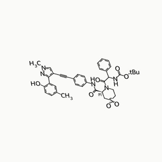 Cc1ccc(O)c(-c2nn(C)cc2C#Cc2ccc(NC(=O)[C@@H]3CS(=O)(=O)CCN3C(=O)C(NC(=O)OC(C)(C)C)c3ccccc3)cc2)c1